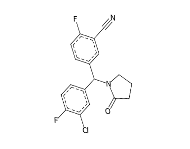 N#Cc1cc(C(c2ccc(F)c(Cl)c2)N2CCCC2=O)ccc1F